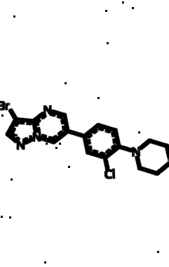 Clc1cc(-c2cnc3c(Br)cnn3c2)ccc1N1CCCCC1